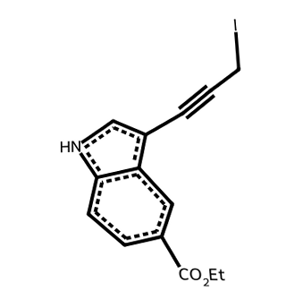 CCOC(=O)c1ccc2[nH]cc(C#CCI)c2c1